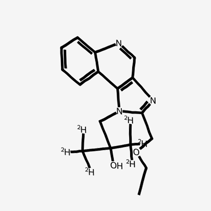 [2H]C([2H])([2H])C(O)(Cn1c(COCC)nc2cnc3ccccc3c21)C([2H])([2H])[2H]